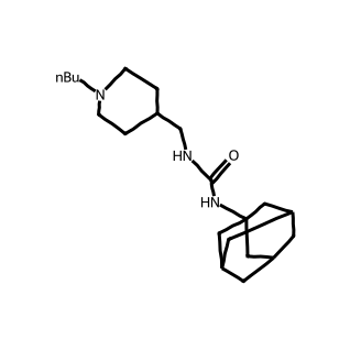 CCCCN1CCC(CNC(=O)NC23CC4CC(CC(C4)C2)C3)CC1